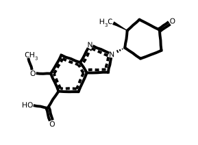 COc1cc2nn([C@H]3CCC(=O)C[C@@H]3C)cc2cc1C(=O)O